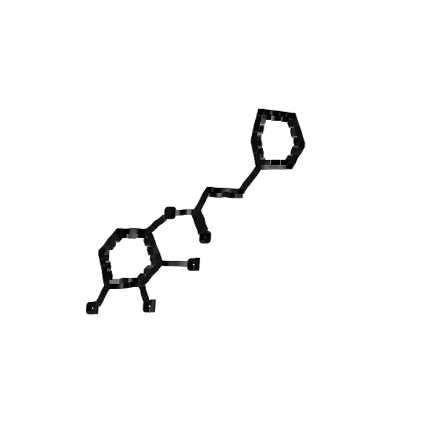 O=C(C=Cc1ccccc1)Oc1ccc(Cl)c(Cl)c1Cl